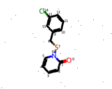 O=c1ccccn1SCc1cccc(Cl)c1